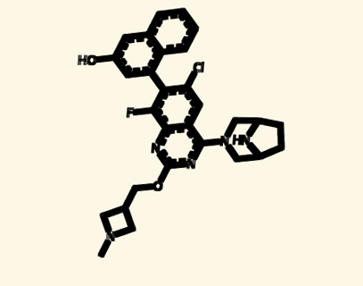 CN1CC(COc2nc(N3CC4CCC(C3)N4)c3cc(Cl)c(-c4cc(O)cc5ccccc45)c(F)c3n2)C1